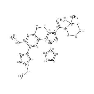 CCn1cc(-c2cc3c(cc2OC)OCc2c(C(=O)N4CCOCC4(C)C)nn(-c4ccsc4)c2-3)cn1